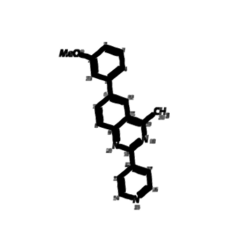 COc1cccc(-c2ccc3nc(-c4ccncc4)nc(C)c3c2)c1